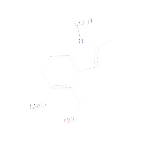 COc1ccc2c(cc(C)n2C(=O)O)c1CO